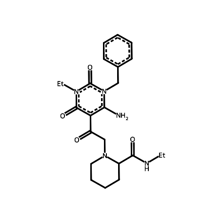 CCNC(=O)C1CCCCN1CC(=O)c1c(N)n(Cc2ccccc2)c(=O)n(CC)c1=O